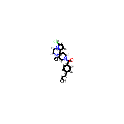 CCCc1ccc(C(=O)N2CCC3(CC2)c2ccc(Cl)n2CCN3C)cc1